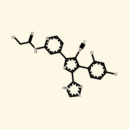 [C-]#[N+]c1c(-c2ccnc(NC(=O)CCl)c2)sc(-c2nnc[nH]2)c1-c1ccc(Cl)cc1Cl